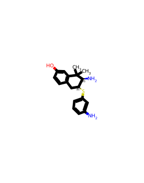 CC1(C)c2cc(O)ccc2C[C@@H](Sc2cccc(N)c2)[C@@H]1N